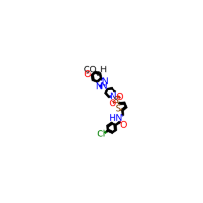 O=C(O)Oc1ccc2nn(C3CCN(S(=O)(=O)c4ccc(CNC(=O)c5ccc(Cl)cc5)s4)CC3)nc2c1